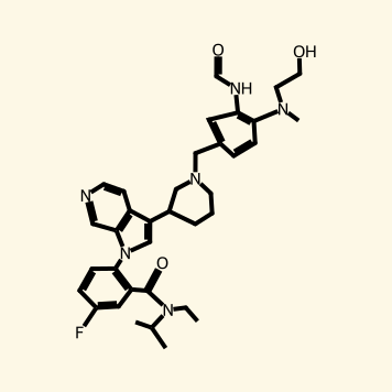 CCN(C(=O)c1cc(F)ccc1-n1cc(C2CCCN(Cc3ccc(N(C)CCO)c(NC=O)c3)C2)c2ccncc21)C(C)C